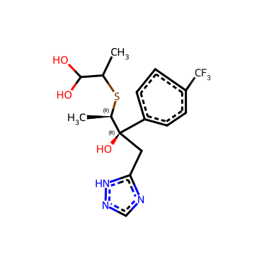 CC(S[C@H](C)[C@@](O)(Cc1ncn[nH]1)c1ccc(C(F)(F)F)cc1)C(O)O